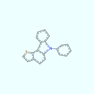 c1ccc(-n2c3ccccc3c3c4sccc4ccc32)cc1